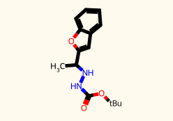 CC(NNC(=O)OC(C)(C)C)c1cc2ccccc2o1